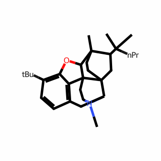 CCCC(C)(C)C1CC23CCC1(C)C1Oc4c(C(C)(C)C)ccc5c4C12CCN(C)C3C5